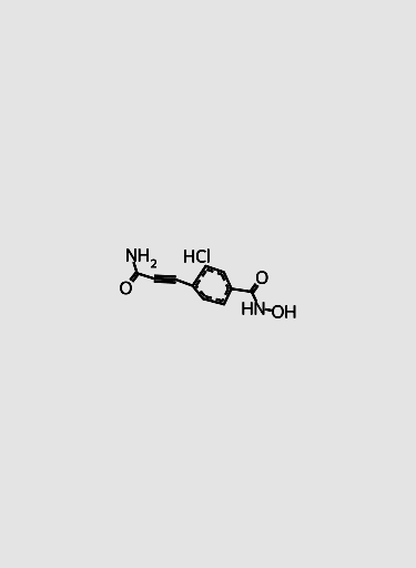 Cl.NC(=O)C#Cc1ccc(C(=O)NO)cc1